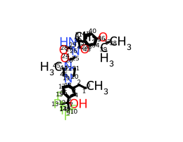 CCCc1cc(C(O)(C(F)(F)F)C(F)(F)F)ccc1N1CCN(C(=O)CN2C(=O)NC(C)(c3ccc(OC(C)C)cc3)C2=O)C(C)C1